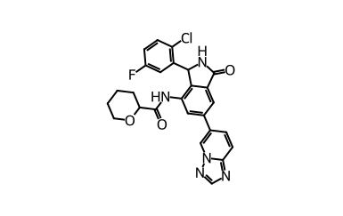 O=C1NC(c2cc(F)ccc2Cl)c2c(NC(=O)C3CCCCO3)cc(-c3ccc4ncnn4c3)cc21